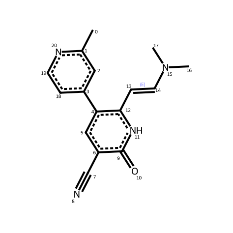 Cc1cc(-c2cc(C#N)c(=O)[nH]c2/C=C/N(C)C)ccn1